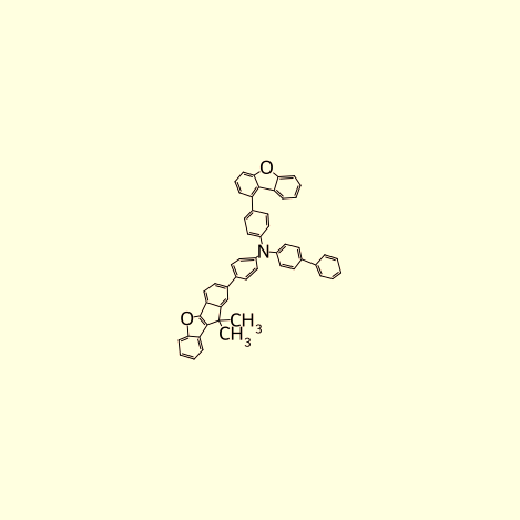 CC1(C)c2cc(-c3ccc(N(c4ccc(-c5ccccc5)cc4)c4ccc(-c5cccc6oc7ccccc7c56)cc4)cc3)ccc2-c2oc3ccccc3c21